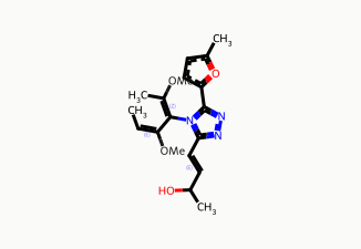 C/C=C(OC)\C(=C(/C)OC)n1c(/C=C/C(C)O)nnc1-c1ccc(C)o1